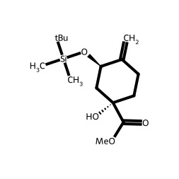 C=C1CC[C@@](O)(C(=O)OC)C[C@H]1O[Si](C)(C)C(C)(C)C